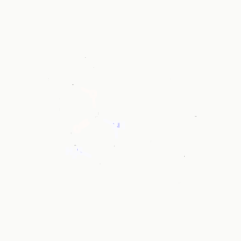 CC(C)(C)OC(=O)NC(CN)Cc1cc(F)ccc1F